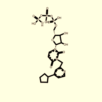 O=c1ccn([C@@H]2O[C@H](COP(=O)(O)OP(=O)(O)OP(=O)(O)O)C(O)C2O)c(=O)n1Cc1cc(C2CCCC2)ccn1